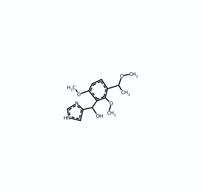 COc1ccc(C(C)OC)c(OC)c1C(O)c1c[nH]cn1